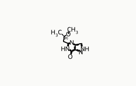 CO[C@H](C)Cc1nc2c[nH]nc2c(=O)[nH]1